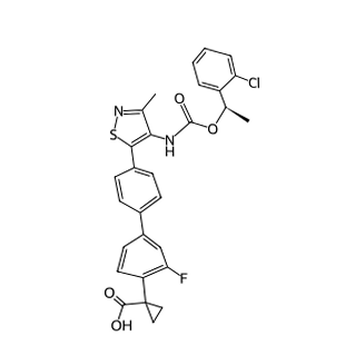 Cc1nsc(-c2ccc(-c3ccc(C4(C(=O)O)CC4)c(F)c3)cc2)c1NC(=O)O[C@H](C)c1ccccc1Cl